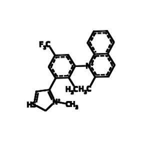 Cc1c(C2=[N+](C)C[SH]=C2)cc(C(F)(F)F)cc1-[n+]1c(C)ccc2ccccc21